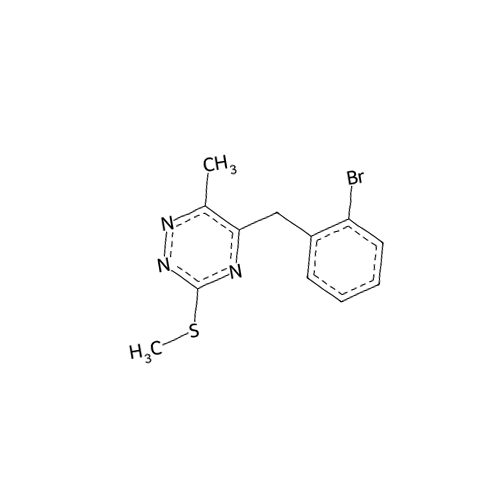 CSc1nnc(C)c(Cc2ccccc2Br)n1